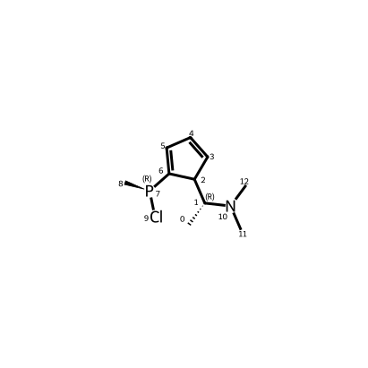 C[C@H](C1C=CC=C1[P@](C)Cl)N(C)C